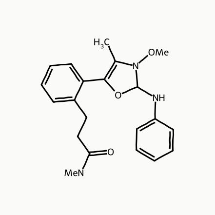 CNC(=O)CCc1ccccc1C1=C(C)N(OC)C(Nc2ccccc2)O1